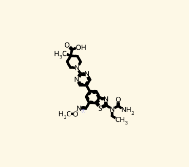 CCN(C(N)=O)c1nc2cc(-c3cnc(N4CCC(C)(C(=O)O)CC4)nc3)cc(/C=N/OC)c2s1